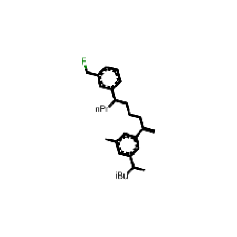 C=C(CCCC(CCC)c1cccc(CF)c1)c1cc(C)cc(C(C)C(C)CC)c1